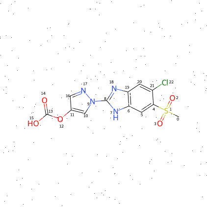 CS(=O)(=O)c1cc2[nH]c(-n3cc(OC(=O)O)cn3)nc2cc1Cl